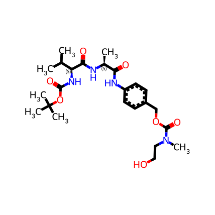 CC(C)[C@H](NC(=O)OC(C)(C)C)C(=O)N[C@@H](C)C(=O)Nc1ccc(COC(=O)N(C)CCO)cc1